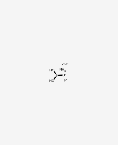 N.[F-].[O-]B(O)O.[Zn+2]